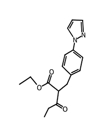 CCOC(=O)C(Cc1ccc(-n2cccn2)cc1)C(=O)CC